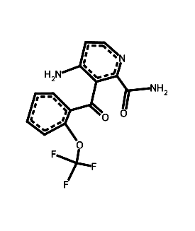 NC(=O)c1nccc(N)c1C(=O)c1ccccc1OC(F)(F)F